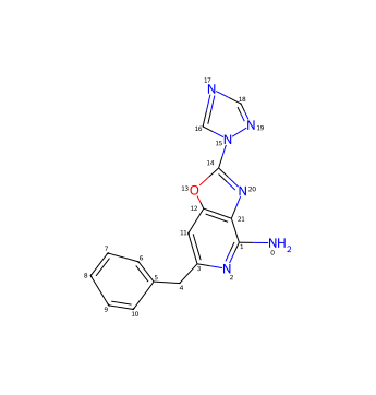 Nc1nc(Cc2ccccc2)cc2oc(-n3cncn3)nc12